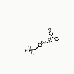 ONNCCC#Cc1ccc(OCCCN2CCN(C(c3ccccc3)c3ccc(Cl)cc3)CC2)cc1